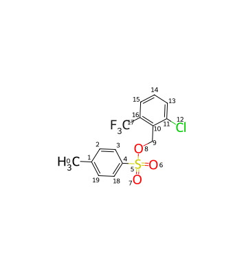 Cc1ccc(S(=O)(=O)OCc2c(Cl)cccc2C(F)(F)F)cc1